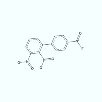 O=[N+]([O-])c1ccc(-c2cc[c]c([N+](=O)[O-])c2[N+](=O)[O-])cc1